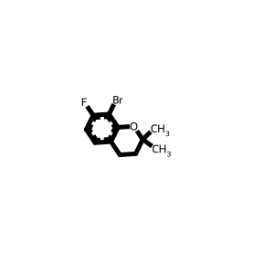 CC1(C)CCc2ccc(F)c(Br)c2O1